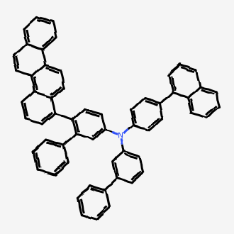 c1ccc(-c2cccc(N(c3ccc(-c4cccc5ccccc45)cc3)c3ccc(-c4cccc5c4ccc4c6ccccc6ccc54)c(-c4ccccc4)c3)c2)cc1